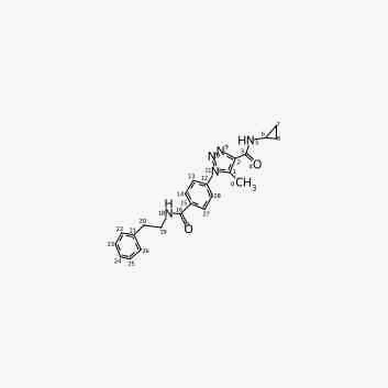 Cc1c(C(=O)NC2CC2)nnn1-c1ccc(C(=O)NCCc2ccccc2)cc1